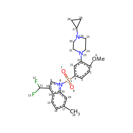 COc1ccc(S(=O)(=O)n2cc(C(F)F)c3ccc(C)cc32)cc1N1CCN(C2CC2)CC1